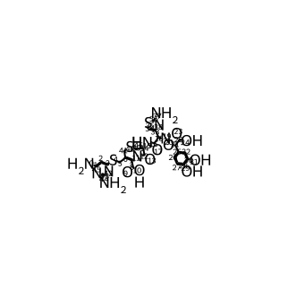 Nc1cc(SCC2=C(C(=O)O)N3C(=O)C(NC(=O)/C(=N\O[C@@H](C(=O)O)c4ccc(O)c(O)c4)c4csc(N)n4)[C@@H]3SC2)nc(N)n1